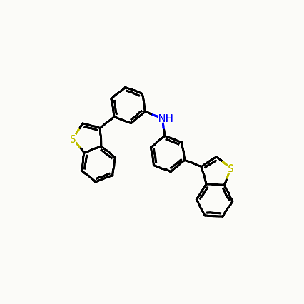 c1cc(Nc2cccc(-c3csc4ccccc34)c2)cc(-c2csc3ccccc23)c1